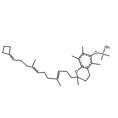 C/C(=C\CC/C(C)=C/CCC1(C)CCc2c(C)c(O[Si](C)(C)C(C)(C)C)c(C)c(C)c2O1)CCC=C1CCC1